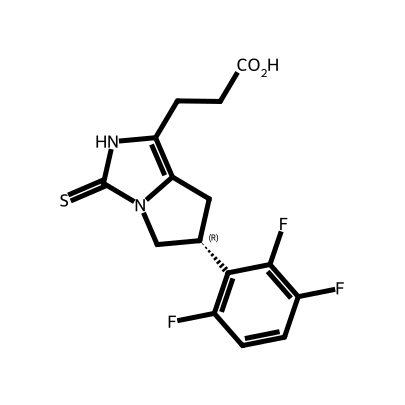 O=C(O)CCc1[nH]c(=S)n2c1C[C@H](c1c(F)ccc(F)c1F)C2